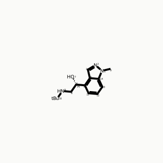 Cn1ncc2c([C@@H](O)CNC(C)(C)C)cccc21